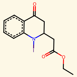 CCOC(=O)CC1CC(=O)c2ccccc2N1I